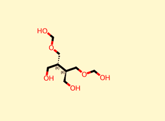 OCOC[C@@H](CO)[C@H](CO)COCO